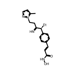 CC[C@H](C(=N)CCn1nccc1C)c1ccc(/C=C/C(=O)NO)cc1